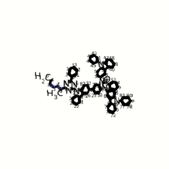 C=C/C=C\C=C(/C)c1nc(-c2ccccc2)nc(-n2c3ccccc3c3cc(-c4ccc5c(c4)N(C4=Cc6c(n(-c7ccccc7)c7ccccc67)CC4)P(=O)(c4ccccc4)N5c4ccc5c(c4)c4ccccc4n5-c4ccccc4)ccc32)n1